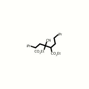 CCOC(=O)C(CCC(C)C)C(C#N)(CCC(C)C)C(=O)OCC